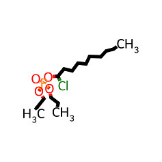 CCCCCCCCCC(Cl)OP(=O)(OCCC)OCCC